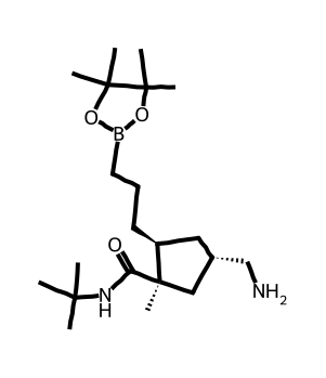 CC(C)(C)NC(=O)[C@]1(C)C[C@@H](CN)C[C@@H]1CCCB1OC(C)(C)C(C)(C)O1